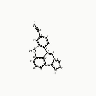 N#Cc1ccc(C(=Cn2ccnc2)c2ccccc2O)cc1